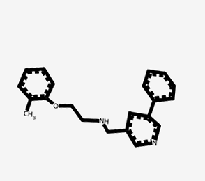 Cc1ccccc1OCCNCc1cncc(-c2ccccc2)c1